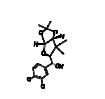 CC1(C)O[C@H]2O[C@H]([C@H](O)c3ccc(Cl)c(Cl)c3)C(C)(C)[C@H]2O1